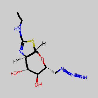 CCNC1=N[C@@H]2[C@@H](O)[C@H](O)[C@@H](CN=[N+]=N)O[C@@H]2S1